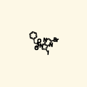 O=S(=O)(Cc1ccccc1)n1cc(I)c2nc(Br)cnc21